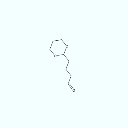 O=CCCCC1OCCCO1